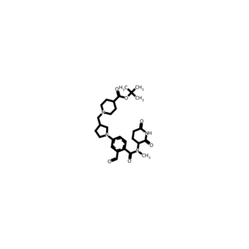 CN(C(=O)c1ccc(N2CCC(CN3CCC(C(=O)OC(C)(C)C)CC3)C2)cc1C=O)C1CCC(=O)NC1=O